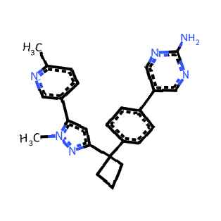 Cc1ccc(-c2cc(C3(c4ccc(-c5cnc(N)nc5)cc4)CCC3)nn2C)cn1